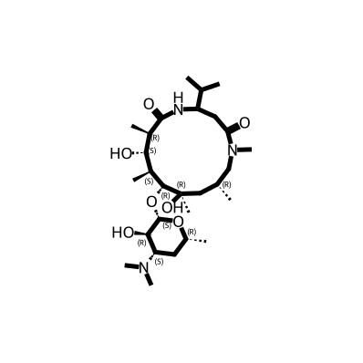 CC(C)C1CC(=O)N(C)C[C@H](C)C[C@@](C)(O)[C@H](O[C@@H]2O[C@H](C)C[C@H](N(C)C)[C@H]2O)[C@@H](C)[C@H](O)[C@@H](C)C(=O)N1